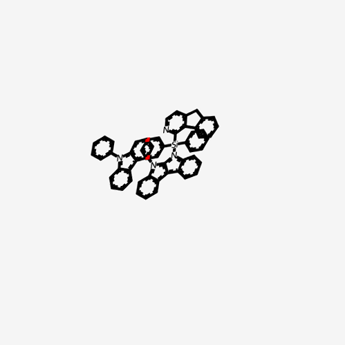 c1ccc(-n2c3ccccc3c3c(-n4c5ccccc5c5c6ccccc6n([Si](c6ccccc6)(c6ccccc6)c6nccc7c6-c6ccccc6C7)c54)cccc32)cc1